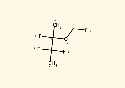 CC(F)(F)C(C)(F)OCF